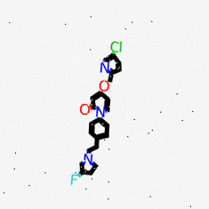 O=c1cc(OCc2ccc(Cl)cn2)ccn1-c1ccc(CCN2CCC(F)C2)cc1